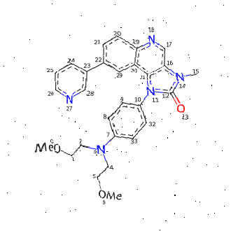 COCCN(CCOC)c1ccc(-n2c(=O)n(C)c3cnc4ccc(-c5cccnc5)cc4c32)cc1